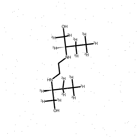 [2H]C([2H])([2H])C([2H])([2H])[C@@]([2H])(NCCN[C@@]([2H])(C([2H])([2H])O)C([2H])([2H])C([2H])([2H])[2H])C([2H])([2H])O